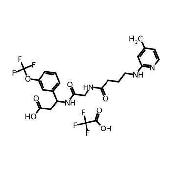 Cc1ccnc(NCCCC(=O)NCC(=O)NC(CC(=O)O)c2cccc(OC(F)(F)F)c2)c1.O=C(O)C(F)(F)F